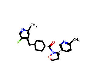 Cc1ccc([C@@H]2CCON2C(=O)[C@H]2CC[C@H](Cc3cc(C)ncc3F)CC2)cn1